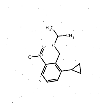 CC(C)OCc1c(C2CC2)cccc1[N+](=O)[O-]